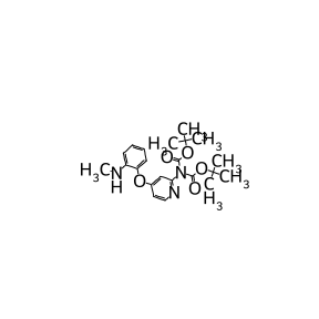 CNc1ccccc1Oc1ccnc(N(C(=O)OC(C)(C)C)C(=O)OC(C)(C)C)c1